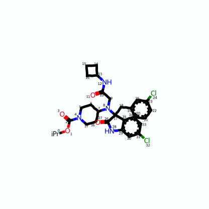 CC(C)OC(=O)N1CCC(N(CC(=O)NC2CCC2)C2(Cc3cccc(Cl)c3)C(=O)Nc3cc(Cl)ccc32)CC1